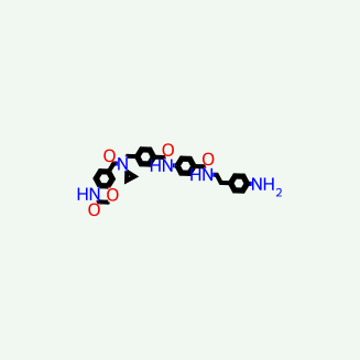 Nc1ccc(CCNC(=O)c2ccc(NC(=O)c3ccc(CN(C(=O)c4ccc5c(c4)OCC(=O)N5)C4CC4)cc3)cc2)cc1